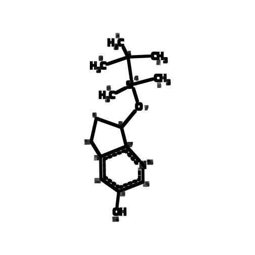 CC(C)(C)[Si](C)(C)OC1CCc2cc(O)cnc21